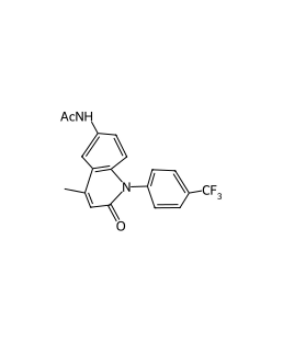 CC(=O)Nc1ccc2c(c1)c(C)cc(=O)n2-c1ccc(C(F)(F)F)cc1